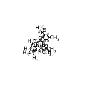 COC(=O)c1cc(C)cc2c(B3OC(C)(C)C(C)(C)O3)c(C(C)NC(=O)OC(C)(C)C)oc12